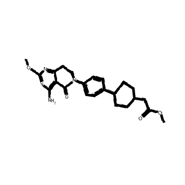 COC(=O)CC1CCC(c2ccc(N3CCc4nc(OC)nc(N)c4C3=O)cc2)CC1